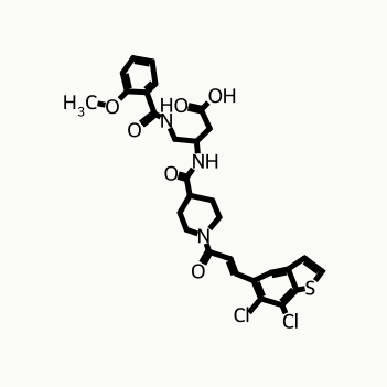 COc1ccccc1C(=O)NCC(CC(=O)O)NC(=O)C1CCN(C(=O)C=Cc2cc3ccsc3c(Cl)c2Cl)CC1